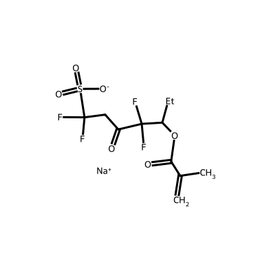 C=C(C)C(=O)OC(CC)C(F)(F)C(=O)CC(F)(F)S(=O)(=O)[O-].[Na+]